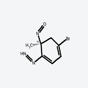 C[C@]1(N=O)CC(Br)=CC=C1N=N